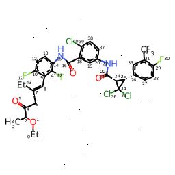 CCOC(C)C(=O)C/C(=C/c1c(F)ccc(NC(=O)c2cc(NC(=O)[C@H]3[C@H](c4ccc(F)c(C(F)(F)F)c4)C3(Cl)Cl)ccc2Cl)c1F)CC